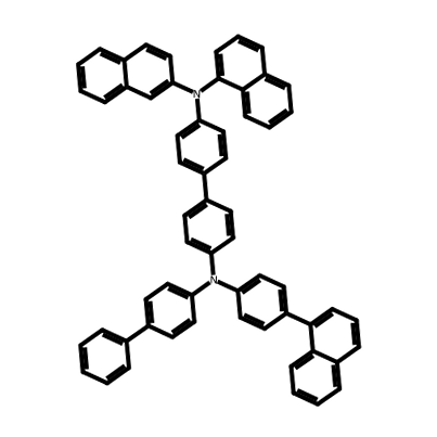 c1ccc(-c2ccc(N(c3ccc(-c4ccc(N(c5ccc6ccccc6c5)c5cccc6ccccc56)cc4)cc3)c3ccc(-c4cccc5ccccc45)cc3)cc2)cc1